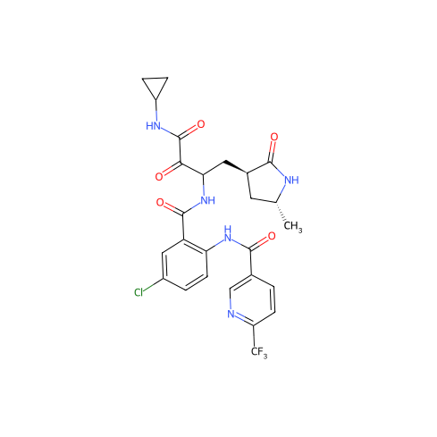 C[C@@H]1C[C@@H](CC(NC(=O)c2cc(Cl)ccc2NC(=O)c2ccc(C(F)(F)F)nc2)C(=O)C(=O)NC2CC2)C(=O)N1